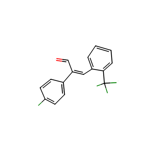 O=CC(=Cc1ccccc1C(F)(F)F)c1ccc(F)cc1